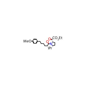 CCOC(=O)C(=O)[C@@H]1CCCN1C(=O)[C@@H](CCCCc1ccc(OC)cc1)C(C)C